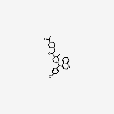 CC(=O)N1CCC(CC(=O)N2CCN(C(c3ccc(Cl)cc3)c3ccnc4ccccc34)CC2C)CC1